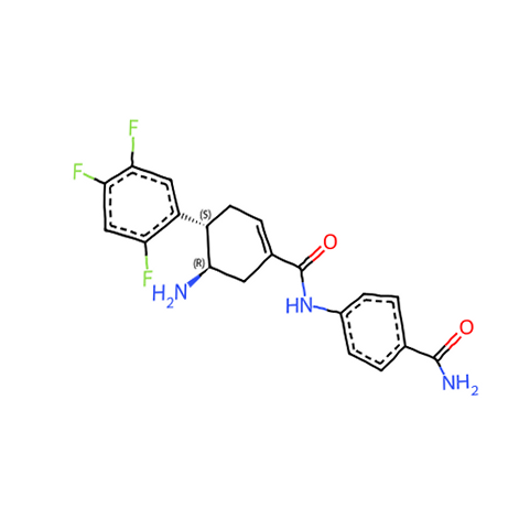 NC(=O)c1ccc(NC(=O)C2=CC[C@@H](c3cc(F)c(F)cc3F)[C@H](N)C2)cc1